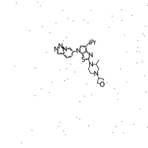 CC(C)c1cn(-c2ccc3cnnn3c2)c2sc(N3CCN(C4COC4)CC3C)nc12